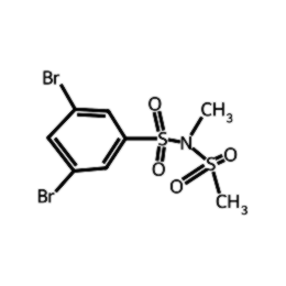 CN(S(C)(=O)=O)S(=O)(=O)c1cc(Br)cc(Br)c1